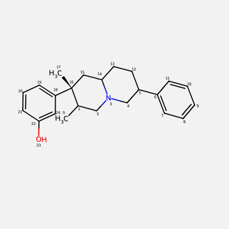 CC1CN2CC(c3ccccc3)CCC2C[C@@]1(C)c1cccc(O)c1